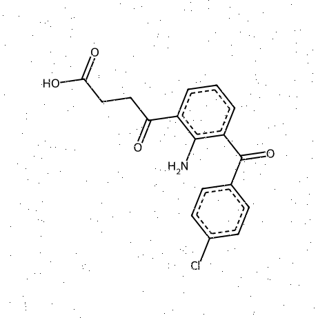 Nc1c(C(=O)CCC(=O)O)cccc1C(=O)c1ccc(Cl)cc1